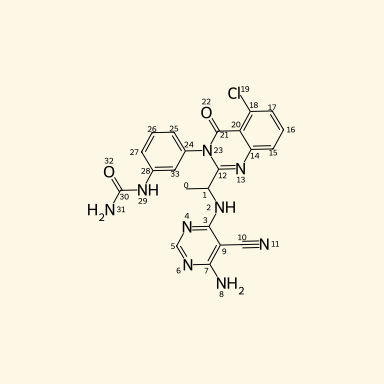 CC(Nc1ncnc(N)c1C#N)c1nc2cccc(Cl)c2c(=O)n1-c1cccc(NC(N)=O)c1